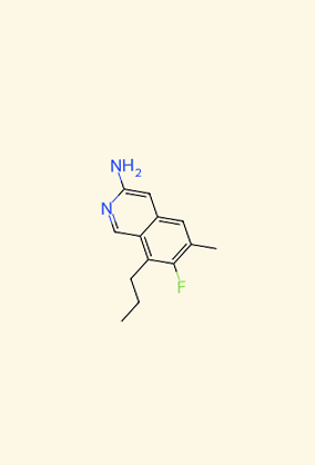 CCCc1c(F)c(C)cc2cc(N)ncc12